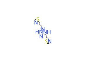 N#CN/C(=N\CCCCc1nccs1)NCCCCc1nccs1